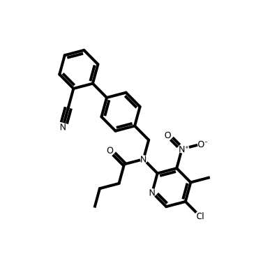 CCCC(=O)N(Cc1ccc(-c2ccccc2C#N)cc1)c1ncc(Cl)c(C)c1[N+](=O)[O-]